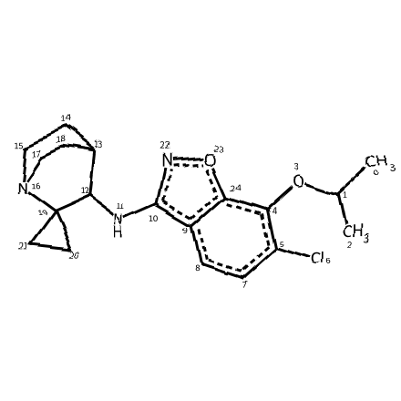 CC(C)Oc1c(Cl)ccc2c(NC3C4CCN(CC4)C34CC4)noc12